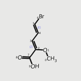 CO/C(=C\C=C\Br)C(=O)O